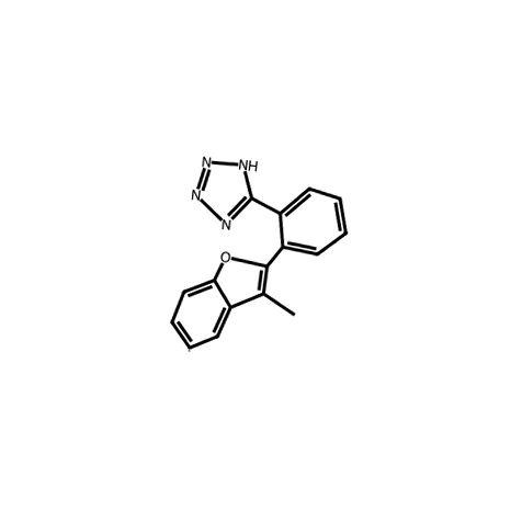 Cc1c(-c2ccccc2-c2nnn[nH]2)oc2cc[c]cc12